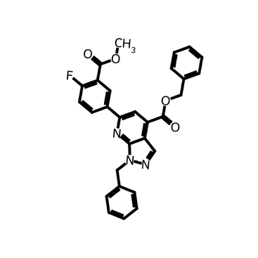 COC(=O)c1cc(-c2cc(C(=O)OCc3ccccc3)c3cnn(Cc4ccccc4)c3n2)ccc1F